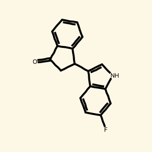 O=C1CC(c2c[nH]c3cc(F)ccc23)c2ccccc21